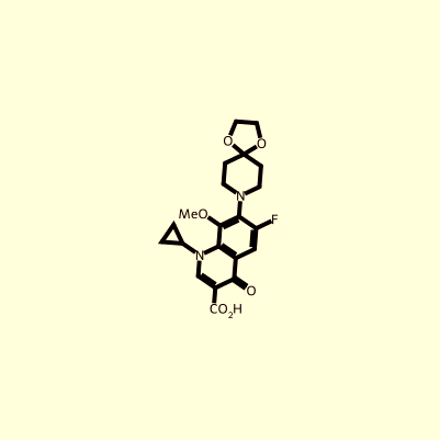 COc1c(N2CCC3(CC2)OCCO3)c(F)cc2c(=O)c(C(=O)O)cn(C3CC3)c12